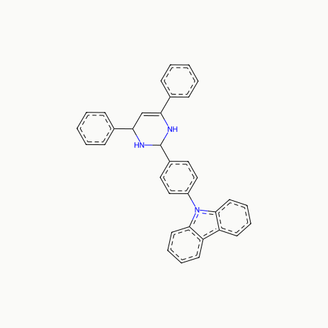 C1=C(c2ccccc2)NC(c2ccc(-n3c4ccccc4c4ccccc43)cc2)NC1c1ccccc1